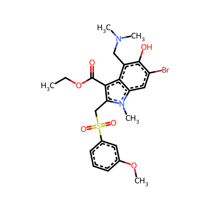 CCOC(=O)c1c(CS(=O)(=O)c2cccc(OC)c2)n(C)c2cc(Br)c(O)c(CN(C)C)c12